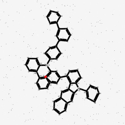 c1ccc(-c2cccc(-c3ccc(N(c4cccc(-c5cccc6c5c5cc7ccccc7cc5n6-c5ccccc5)c4)c4ccccc4-c4ccccc4)cc3)c2)cc1